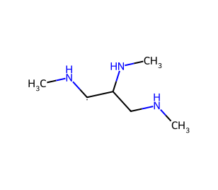 CN[CH]C(CNC)NC